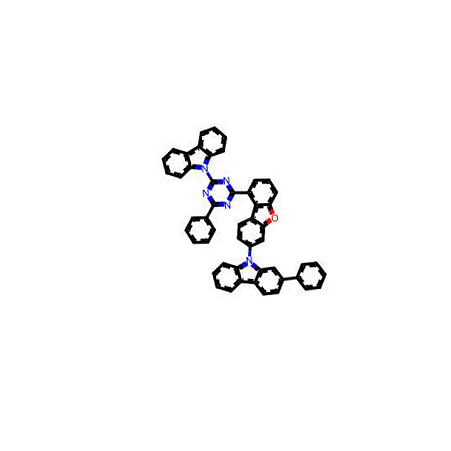 c1ccc(-c2ccc3c4ccccc4n(-c4ccc5c(c4)oc4cccc(-c6nc(-c7ccccc7)nc(-n7c8ccccc8c8ccccc87)n6)c45)c3c2)cc1